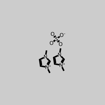 Cn1cc[n+](C)c1.Cn1cc[n+](C)c1.O=S(=O)([O-])[O-]